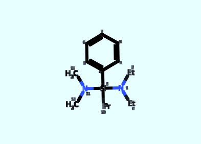 CCN(CC)[Si](c1ccccc1)(C(C)C)N(C)C